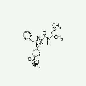 COCC(C)NC(=O)c1nc(Cc2ccccc2)n(-c2ccc(S(N)(=O)=O)cc2)n1